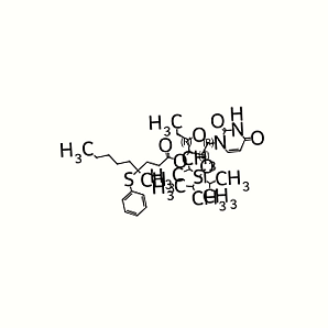 CCCCCC(C)(CCC(=O)OC1[C@@H](CC)O[C@@H](n2ccc(=O)[nH]c2=O)[C@H]1O[Si](C(C)C)(C(C)C)C(C)C)Sc1ccccc1